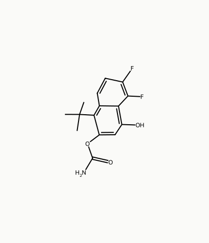 CC(C)(C)c1c(OC(N)=O)cc(O)c2c(F)c(F)ccc12